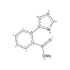 COC(=O)c1ccccc1-c1cocn1